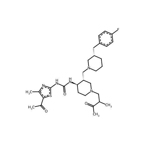 CC(=O)c1sc(NC(=O)N[C@@H]2CCN(CC(C)C(C)=O)C[C@H]2CN2CCC[C@@H](Cc3ccc(F)cc3)C2)nc1C